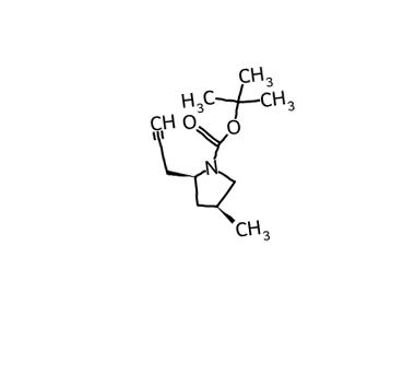 C#CC[C@@H]1C[C@H](C)CN1C(=O)OC(C)(C)C